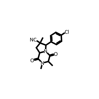 CC1C(=O)N2C(CC(C)(C#N)C2c2ccc(Cl)cc2)C(=O)N1C